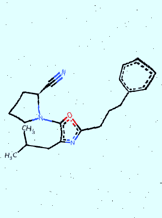 CC(C)Cc1nc(CCCc2ccccc2)oc1N1CCC[C@H]1C#N